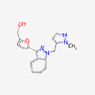 Cn1nccc1Cn1nc(-c2ccc(CO)o2)c2ccccc21